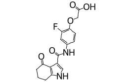 O=C(O)COc1ccc(NC(=O)c2c[nH]c3c2C(=O)CCC3)cc1F